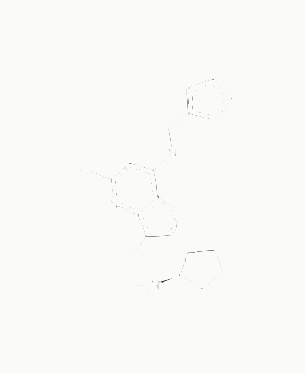 N[C@@H]1CCC[C@H]1c1sc2c(NCc3cccs3)cc(Cl)nc2c1Br